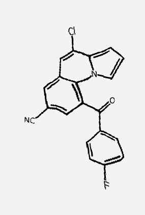 N#Cc1cc(C(=O)c2ccc(F)cc2)c2c(c1)cc(Cl)c1cccn12